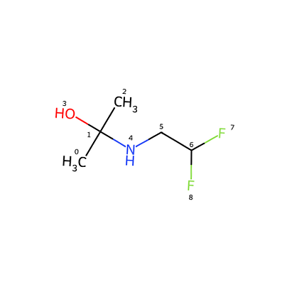 CC(C)(O)NCC(F)F